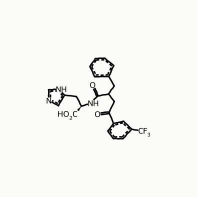 O=C(CC(Cc1ccccc1)C(=O)N[C@H](Cc1cnc[nH]1)C(=O)O)c1cccc(C(F)(F)F)c1